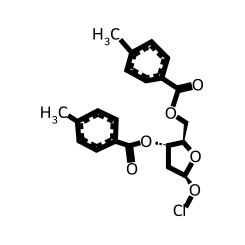 Cc1ccc(C(=O)OC[C@H]2O[C@@H](OCl)C[C@@H]2OC(=O)c2ccc(C)cc2)cc1